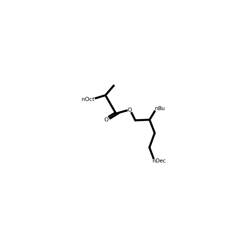 CCCCCCCCCCCCC(CCCC)COC(=O)C(C)CCCCCCCC